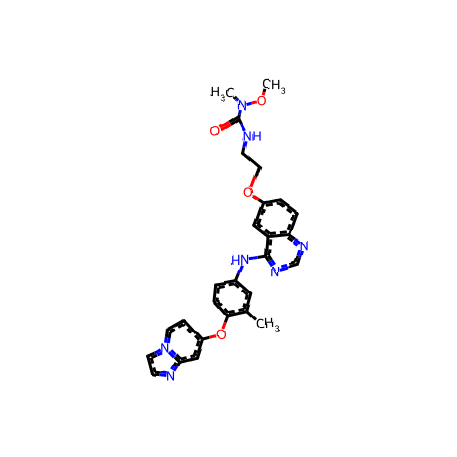 CON(C)C(=O)NCCOc1ccc2ncnc(Nc3ccc(Oc4ccn5ccnc5c4)c(C)c3)c2c1